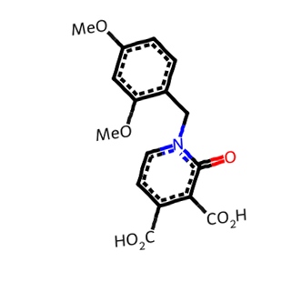 COc1ccc(Cn2ccc(C(=O)O)c(C(=O)O)c2=O)c(OC)c1